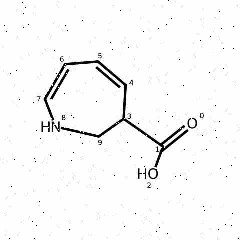 O=C(O)C1C=CC=CNC1